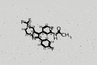 CC(=O)Nc1cc(-c2c(-c3ccc(F)cc3)nn3c2CN(C(F)F)CC3)ccn1